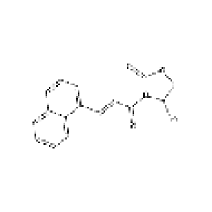 CC(C)C1COC(=O)N1C(=O)C=Cc1cccc2ccccc12